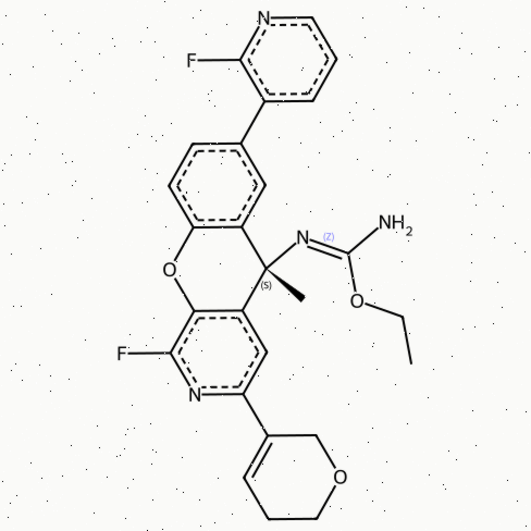 CCO/C(N)=N\[C@@]1(C)c2cc(-c3cccnc3F)ccc2Oc2c1cc(C1=CCCOC1)nc2F